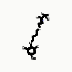 Oc1cc(Cl)c(OCCCCOC/C=C(\Cl)C(F)(F)Cl)c(Cl)c1